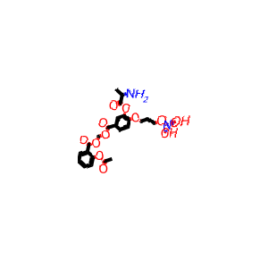 CC(=O)Oc1ccccc1C(=O)OCOC(=O)c1ccc(OCCCON(O)O)c(OC(=O)C(C)N)c1